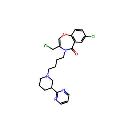 O=C1c2cc(Cl)ccc2OC=C(CCl)N1CCCCN1CCCC(c2ncccn2)C1